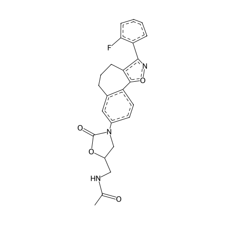 CC(=O)NCC1CN(c2ccc3c(c2)CCCc2c(-c4ccccc4F)noc2-3)C(=O)O1